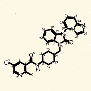 Cc1ncc(Cl)cc1C(=O)NC1CCC(Cn2c(=O)n(-c3cccc4nccn34)c3ccccc32)CC1